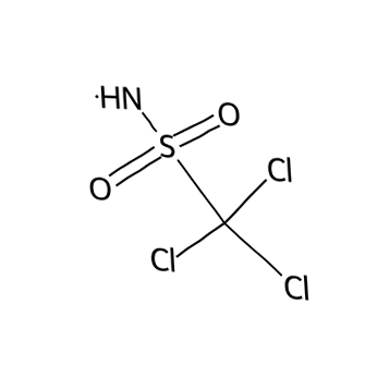 [NH]S(=O)(=O)C(Cl)(Cl)Cl